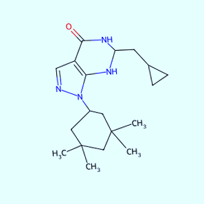 CC1(C)CC(n2ncc3c2NC(CC2CC2)NC3=O)CC(C)(C)C1